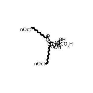 CCCCCCCC/C=C\CCCCCCCC(=O)OC[C@H](COP(=O)(O)OC(CO)C(=O)O)OC(=O)CCCCCCC/C=C\CCCCCCCC